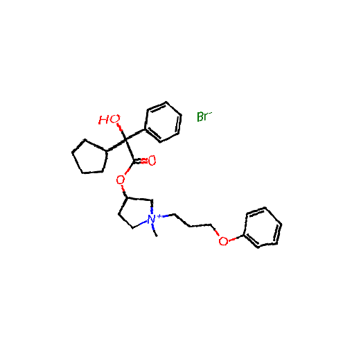 C[N+]1(CCCOc2ccccc2)CCC(OC(=O)C(O)(c2ccccc2)C2CCCC2)C1.[Br-]